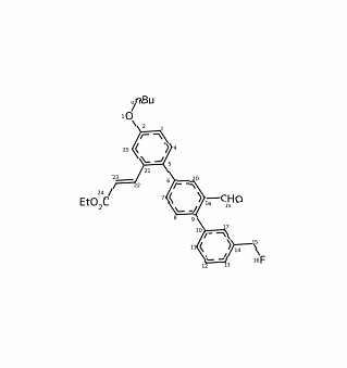 CCCCOc1ccc(-c2ccc(-c3cccc(CF)c3)c(C=O)c2)c(/C=C/C(=O)OCC)c1